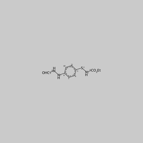 CCOC(=O)NSc1ccc(NNC=O)cc1